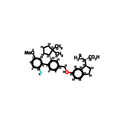 COc1ccc(F)c(-c2ccc(COc3ccc4c(c3)[C@@H]([C@H](C)C(=O)O)CC4)cc2[C@@H]2CCCC2(C)C)c1